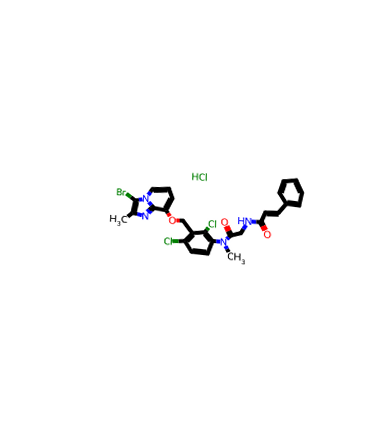 Cc1nc2c(OCc3c(Cl)ccc(N(C)C(=O)CNC(=O)/C=C/c4ccccc4)c3Cl)cccn2c1Br.Cl